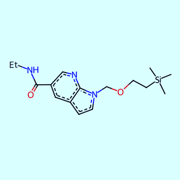 CCNC(=O)c1cnc2c(ccn2COCC[Si](C)(C)C)c1